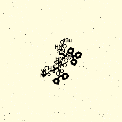 Cn1nncc1SCSC1=C(C(=O)OC(c2ccccc2)c2ccccc2)N2C(=O)[C@@H](NC(=O)/C(=N\OC(c3ccccc3)(c3ccccc3)c3ccccc3)c3csc(NC(=O)OC(C)(C)C)n3)[C@H]2SC1